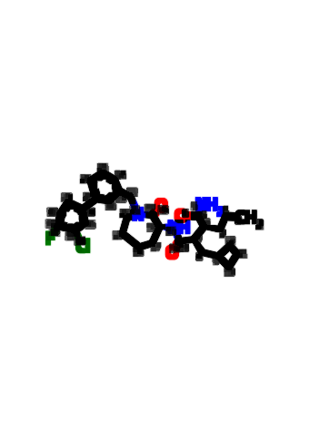 C=CC[C@H](C(N)=O)[C@@H](CC1CCC1)C(=O)N[C@H]1CCCCN(Cc2cccc(-c3ccc(F)c(Cl)c3)c2)C1=O